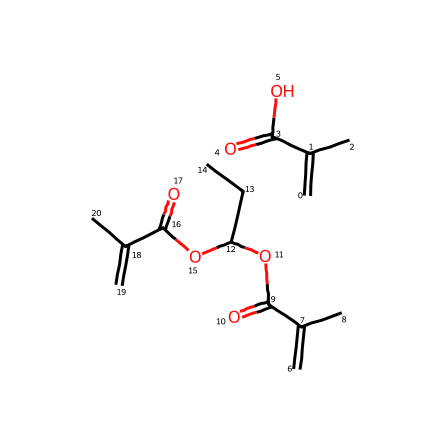 C=C(C)C(=O)O.C=C(C)C(=O)OC(CC)OC(=O)C(=C)C